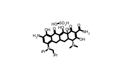 CC(C)CN(c1cc(N)c(O)c2c1CC1CC3[C@H](N(C)C)C(O)=C(C(N)=O)C(=O)[C@@]3(O)C(O)=C1C2=O)C(C)C.O=S(=O)(O)O